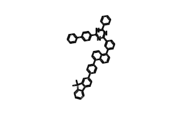 CC1(C)c2ccccc2-c2ccc(-c3ccc(-c4cccc5c(-c6cccc(-c7nc(-c8ccccc8)nc(-c8ccc(-c9ccccc9)cc8)n7)c6)cccc45)cc3)cc21